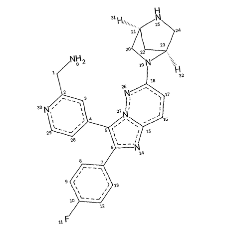 NCc1cc(-c2c(-c3ccc(F)cc3)nc3ccc(N4C[C@@H]5C[C@H]4CN5)nn23)ccn1